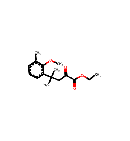 CCOC(=O)C(=O)CC(C)(C)c1cccc(C)c1OC